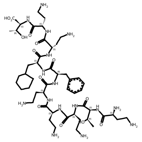 C[C@@H](O)[C@H](NC(=O)[C@H](CCN)NC(=O)[C@H](CCN)NC(=O)[C@H](CC1CCCCC1)NC(=O)[C@@H](Cc1ccccc1)NC(=O)[C@H](CCN)NC(=O)[C@H](CCN)NC(=O)[C@H](CCN)NC(=O)[C@@H](NC(=O)[C@@H](N)CCN)[C@@H](C)O)C(=O)O